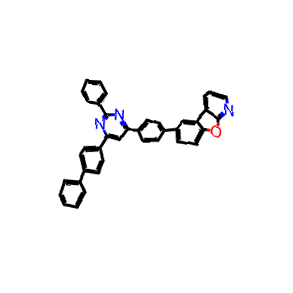 c1ccc(-c2ccc(-c3cc(-c4ccc(-c5ccc6oc7ncccc7c6c5)cc4)nc(-c4ccccc4)n3)cc2)cc1